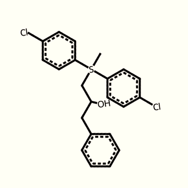 CS(CC(O)Cc1ccccc1)(c1ccc(Cl)cc1)c1ccc(Cl)cc1